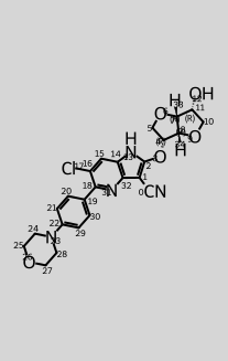 N#Cc1c(O[C@@H]2CO[C@H]3[C@@H]2OC[C@H]3O)[nH]c2cc(Cl)c(-c3ccc(N4CCOCC4)cc3)nc12